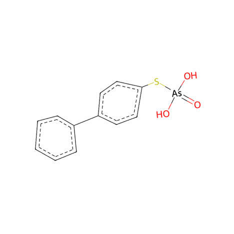 O=[As](O)(O)Sc1ccc(-c2ccccc2)cc1